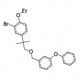 CCOc1ccc(C(C)(C)COCc2cccc(Oc3ccccc3)c2)cc1Br